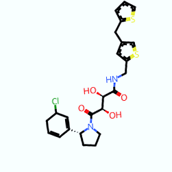 O=C(NCc1cc(Cc2cccs2)cs1)[C@H](O)[C@@H](O)C(=O)N1CCC[C@@H]1C1=CC(Cl)CC=C1